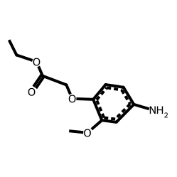 CCOC(=O)COc1ccc(N)cc1OC